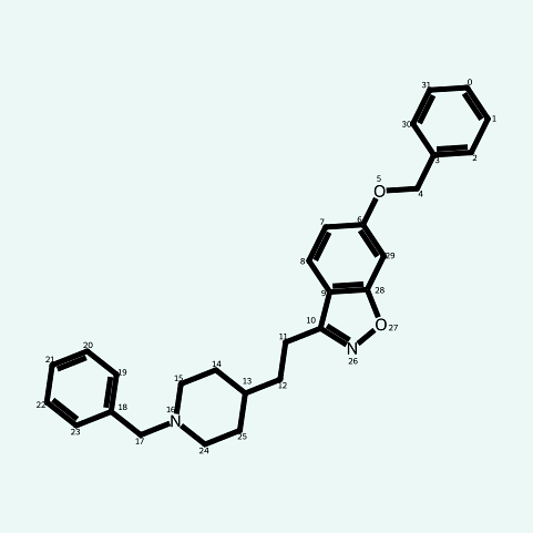 c1ccc(COc2ccc3c(CCC4CCN(Cc5ccccc5)CC4)noc3c2)cc1